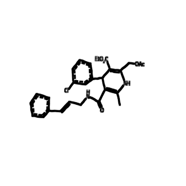 CCOC(=O)C1=C(COC(C)=O)NC(C)=C(C(=O)NCC=Cc2ccccc2)C1c1cccc(Cl)c1